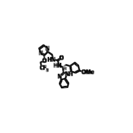 COc1ccc(C[C@@H](NC(=O)NCc2nccnc2OCC(F)(F)F)c2nc3ccccc3[nH]2)cc1